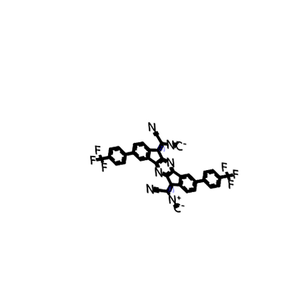 [C-]#[N+]/C(C#N)=C1/c2ccc(-c3ccc(C(F)(F)F)cc3)cc2-c2nc3c(nc21)-c1cc(-c2ccc(C(F)(F)F)cc2)ccc1/C3=C(/C#N)[N+]#[C-]